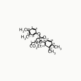 CCOC(=O)CNCP(=O)(Oc1ccc(C)c(C)c1)Oc1ccc(C)c(C)c1